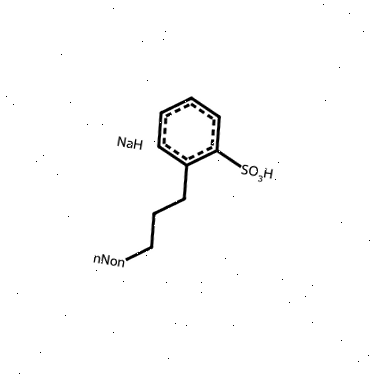 CCCCCCCCCCCCc1ccccc1S(=O)(=O)O.[NaH]